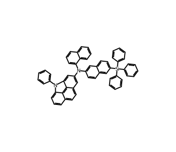 c1ccc(-n2c3cccc4ccc5cc(N(c6ccc7cc([Si](c8ccccc8)(c8ccccc8)c8ccccc8)ccc7c6)c6cccc7ccccc67)cc2c5c43)cc1